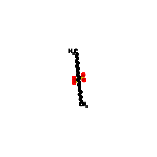 CCCCCCCCCCCC(C(CCCCCCCCCC)=S(=O)=O)=S(=O)=O